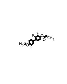 C=CC(=O)Oc1ccc(-c2ccc(OC)c(F)c2)c(F)c1F